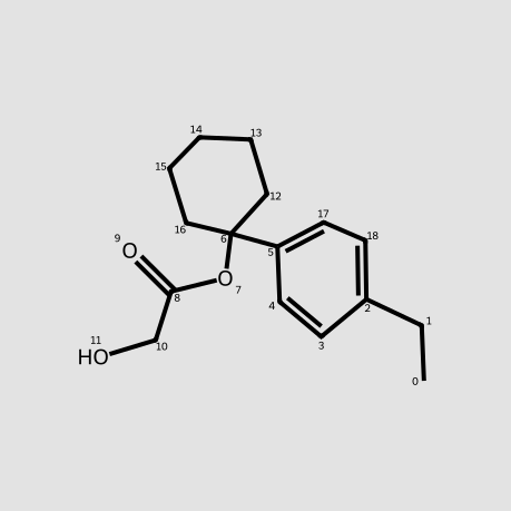 CCc1ccc(C2(OC(=O)CO)CCCCC2)cc1